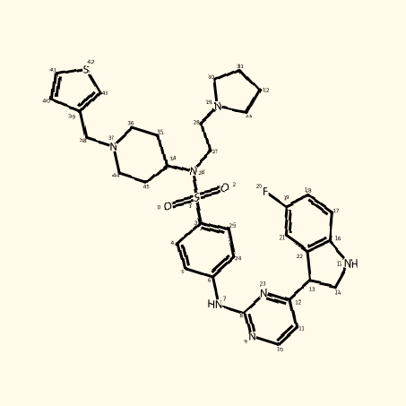 O=S(=O)(c1ccc(Nc2nccc(C3CNc4ccc(F)cc43)n2)cc1)N(CCN1CCCC1)C1CCN(Cc2ccsc2)CC1